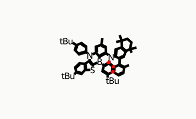 Cc1cc2c3c(c1)N(c1ccc(C(C)(C)C)cc1)c1c(sc4cc(C(C)(C)C)ccc14)B3c1cc(C(C)(C)C)ccc1N2c1cc2c(cc1-c1c(C)cccc1C)C(C)(C)CCC2(C)C